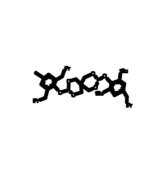 Cc1cc(CC(C)C)c(OP2OCC3(CO2)COP(Oc2c(C(C)(C)C)cc(CC(C)C)cc2C(C)(C)C)OC3)c(CC(C)C)c1